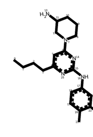 CCCCc1cc(N2CCCC(N)C2)nc(Nc2ccc(C)c(C)c2)n1